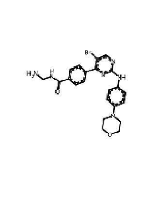 NCNC(=O)c1ccc(-c2nc(Nc3ccc(N4CCOCC4)cc3)ncc2Br)cc1